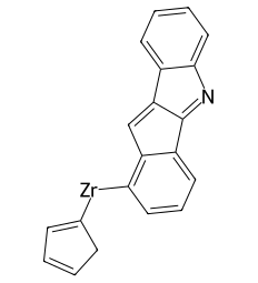 C1=CC[C]([Zr][c]2cccc3c2C=C2C3=Nc3ccccc32)=C1